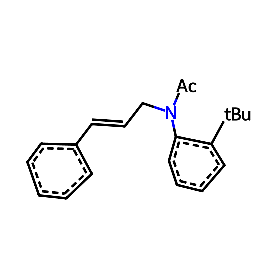 CC(=O)N(CC=Cc1ccccc1)c1ccccc1C(C)(C)C